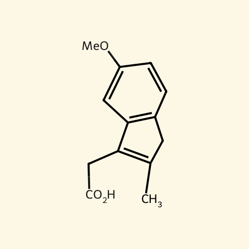 COc1ccc2c(c1)C(CC(=O)O)=C(C)C2